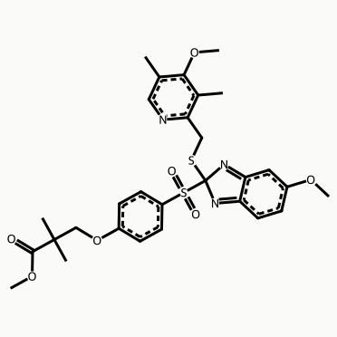 COC(=O)C(C)(C)COc1ccc(S(=O)(=O)C2(SCc3ncc(C)c(OC)c3C)N=c3ccc(OC)cc3=N2)cc1